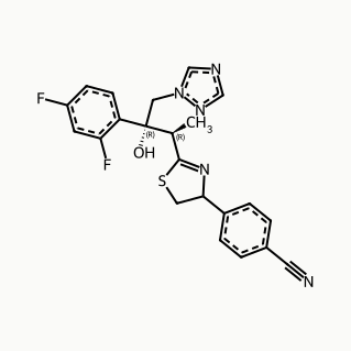 C[C@@H](C1=NC(c2ccc(C#N)cc2)CS1)[C@](O)(Cn1cncn1)c1ccc(F)cc1F